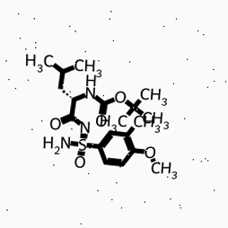 COc1ccc(S(N)(=O)=NC(=O)[C@H](CC(C)C)NC(=O)OC(C)(C)C)cc1C